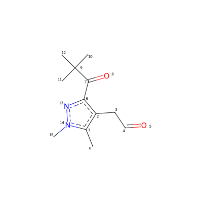 Cc1c(CC=O)c(C(=O)C(C)(C)C)nn1C